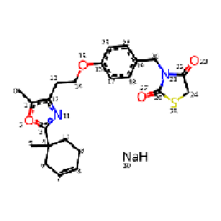 Cc1oc(C2(C)CC=CCC2)nc1CCOc1ccc(CN2C(=O)CSC2=O)cc1.[NaH]